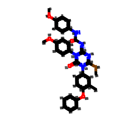 COc1ccc(NC(=O)/N=c2/nc(SC)n(-c3ccc(Oc4ccccc4)c(C)c3)c(=O)n2-c2ccc(OC)cc2)cc1